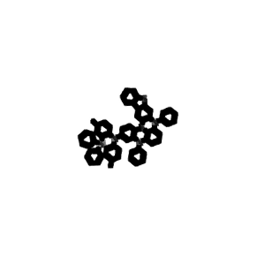 Cc1ccc2c(c1)[Si](c1ccccc1)(c1ccccc1)c1cc(C)ccc1N2c1ccc2c(c1)N(c1ccccc1)c1cccc3c1B2c1cc2c(cc1N3c1ccccc1)sc1ccccc12